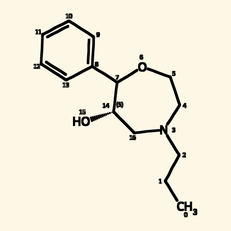 CCCN1CCOC(c2ccccc2)[C@@H](O)C1